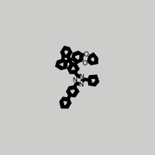 c1ccc(-c2ccc(-c3nc(-c4ccccc4)nc(-c4ccc(C5(c6ccc7c(c6)Oc6ccccc6O7)c6ccccc6-c6ccccc65)cc4)n3)cc2)cc1